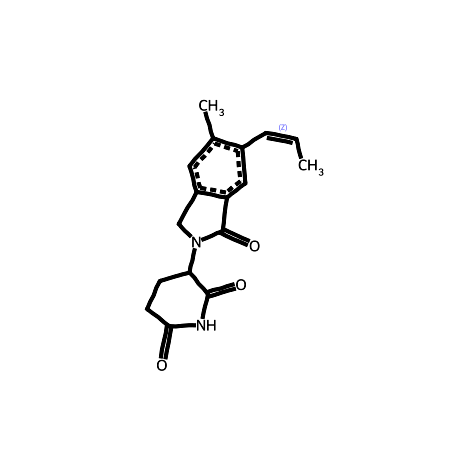 C/C=C\c1cc2c(cc1C)CN(C1CCC(=O)NC1=O)C2=O